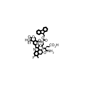 CC[C@@]1(O)C(=O)OCc2c1cc1n(c2=O)Cc2c-1nc1cc(F)c(C)c3c1c2[C@@H](N(C(=O)CNC(=O)OCC1c2ccccc2-c2ccccc21)[C@@H](CCC(=O)O)C(N)=O)CC3